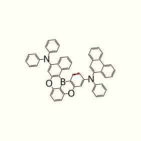 C1=CC2C(N(c3ccccc3)c3cc4ccccc4c4ccccc34)=CC3=C(B4c5c(cccc5Oc5cc(N(c6ccccc6)c6ccccc6)c6ccccc6c54)O3)C2C=C1